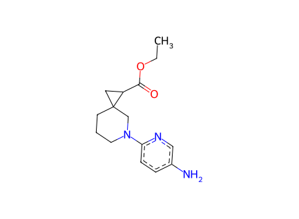 CCOC(=O)C1CC12CCCN(c1ccc(N)cn1)C2